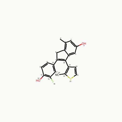 Cc1cc(O)cc2c1CC(c1ccc(O)c(F)c1)=C2c1ccsc1C#N